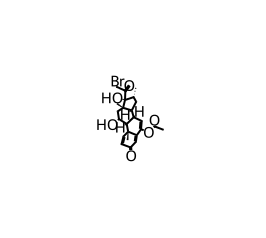 CC(=O)OC1=C[C@@H]2[C@H]([C@@H](O)C[C@@]3(C)[C@H]2C[C@@H](C)[C@]3(O)C(=O)CBr)[C@@]2(C)C=CC(=O)C=C12